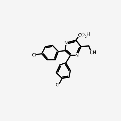 N#CCc1nc(-c2ccc(Cl)cc2)c(-c2ccc(Cl)cc2)nc1C(=O)O